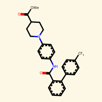 COC(=O)C1CCN(c2ccc(NC(=O)c3ccccc3-c3ccc(C(F)(F)F)cc3)cc2)CC1